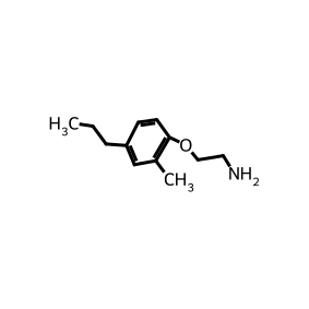 CCCc1ccc(OCCN)c(C)c1